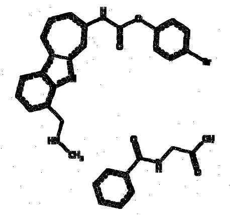 CNCc1cccc2c3cccc(NC(=O)Oc4ccc(Br)cc4)cc-3nc12.O=C(O)CNC(=O)c1ccccc1